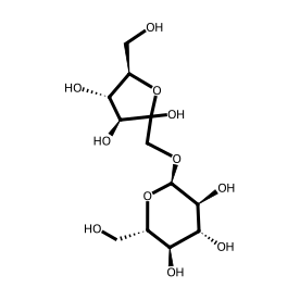 OC[C@@H]1O[C@@H](OCC2(O)O[C@H](CO)[C@@H](O)[C@@H]2O)[C@@H](O)[C@H](O)[C@H]1O